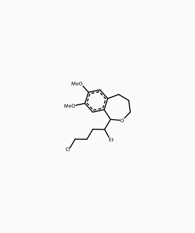 CCC(CCCCl)C1OCCCc2cc(OC)c(OC)cc21